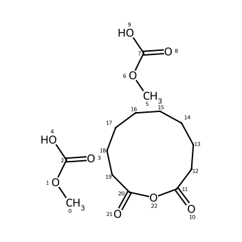 COC(=O)O.COC(=O)O.O=C1CCCCCCCCC(=O)O1